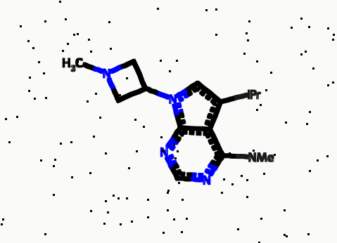 CNc1ncnc2c1c(C(C)C)cn2C1CN(C)C1